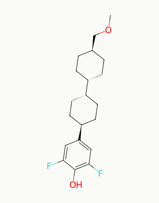 COC[C@H]1CC[C@H]([C@H]2CC[C@H](c3cc(F)c(O)c(F)c3)CC2)CC1